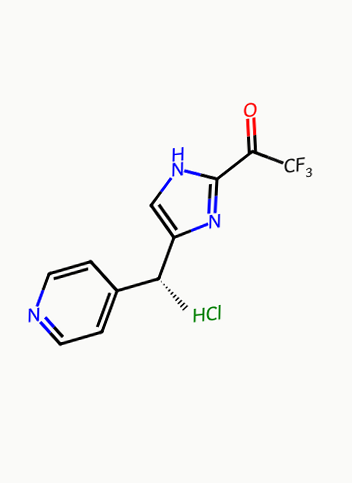 C[C@H](c1ccncc1)c1c[nH]c(C(=O)C(F)(F)F)n1.Cl